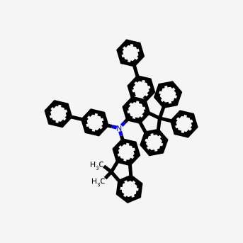 CC1(C)c2ccccc2-c2ccc(N(c3ccc(-c4ccccc4)cc3)c3cc4cc(-c5ccccc5)ccc4c4c3-c3ccccc3C4(c3ccccc3)c3ccccc3)cc21